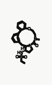 CCS(=O)(=O)N[C@H]1CCN2C(=O)N(C)CCOc3ccccc3-c3cccc(c3)C[C@@H]12